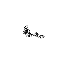 CN1CCN(Cc2ccnc(CC=C(O)CNC(=O)CS(=O)(=O)Cc3ccoc3)c2)CC1